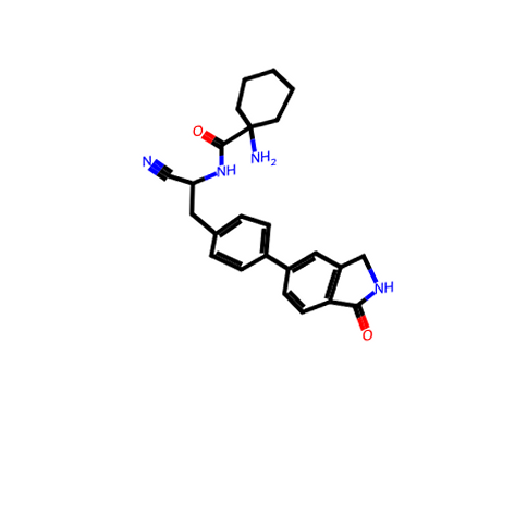 N#CC(Cc1ccc(-c2ccc3c(c2)CNC3=O)cc1)NC(=O)C1(N)CCCCC1